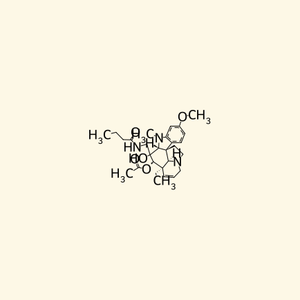 CCCC(=O)NCC1(O)[C@H](OC(C)=O)[C@]2(CC)C=CCN3CC[C@@]4(c5ccc(OC)cc5N(C)[C@@H]14)[C@@H]32